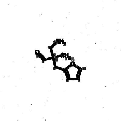 NC[C@](N)(C=O)Cc1ccco1